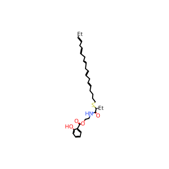 CCC=CCC=CCC=CCC=CCC=CCCCCS[C@@H](CC)C(=O)NCCOC(=O)c1ccccc1O